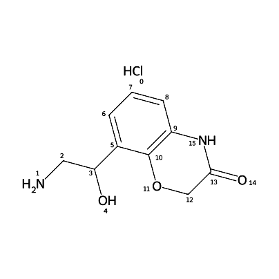 Cl.NCC(O)c1cccc2c1OCC(=O)N2